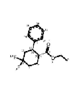 CCOC(=O)[C@@H]1CCC(F)(F)C[C@H]1c1ccccc1